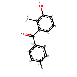 Cc1c(O)cccc1C(=O)c1ccc(Cl)cc1